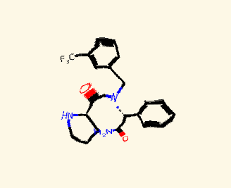 NC(=O)[C@@H](c1ccccc1)N(Cc1cccc(C(F)(F)F)c1)C(=O)[C@H]1CCCN1